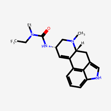 CCN(CC(F)(F)F)C(=O)N[C@H]1C=C2c3cccc4[nH]cc(c34)C[C@H]2N(C)C1